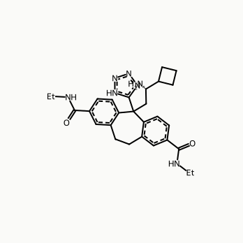 CCNC(=O)c1ccc2c(c1)CCc1cc(C(=O)NCC)ccc1C2(C[C@H](N)C1CCC1)c1nnn[nH]1